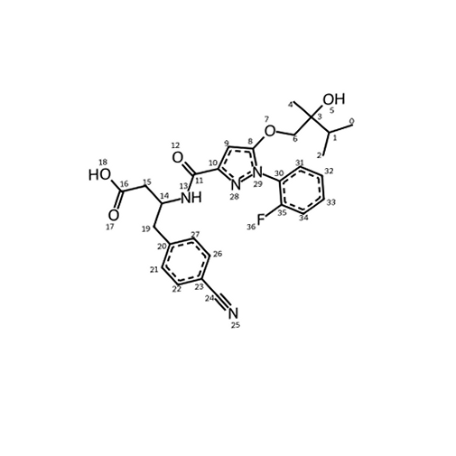 CC(C)C(C)(O)COc1cc(C(=O)NC(CC(=O)O)Cc2ccc(C#N)cc2)nn1-c1ccccc1F